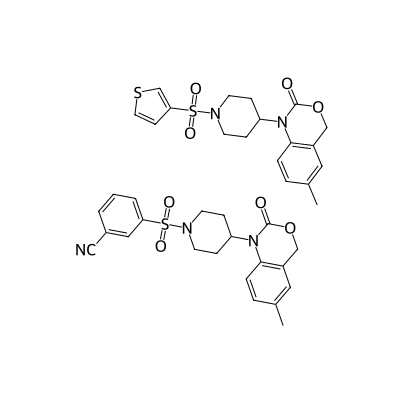 Cc1ccc2c(c1)COC(=O)N2C1CCN(S(=O)(=O)c2cccc(C#N)c2)CC1.Cc1ccc2c(c1)COC(=O)N2C1CCN(S(=O)(=O)c2ccsc2)CC1